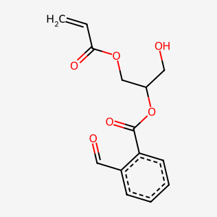 C=CC(=O)OCC(CO)OC(=O)c1ccccc1C=O